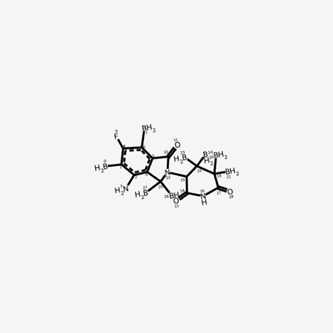 Bc1c(N)c2c(c(B)c1F)C(=O)N(C1C(=O)NC(=O)C(B)(B)C1(B)B)C2(B)B